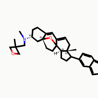 CN(CC1(C)COC1)[C@@H]1CCC2=CC3=CC[C@]4(C)C(c5ccc6ccccc6c5)CC[C@H]4C34CC[C@]2(C1)O4